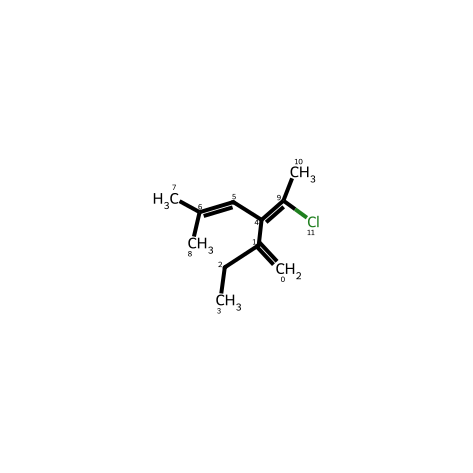 C=C(CC)/C(C=C(C)C)=C(/C)Cl